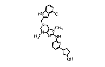 CN1CN(Cc2cc3c(Cl)cccc3[nH]2)Cc2c1nc(Nc1cccc(C3CCC(O)C3)n1)n2C